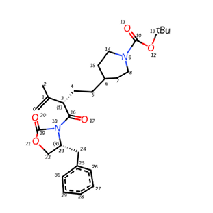 C=C(C)[C@H](CCC1CCN(C(=O)OC(C)(C)C)CC1)C(=O)N1C(=O)OC[C@H]1Cc1ccccc1